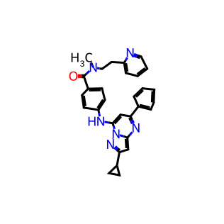 CN(CCc1ccccn1)C(=O)c1ccc(Nc2cc(-c3ccccc3)nc3cc(C4CC4)nn23)cc1